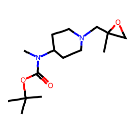 CN(C(=O)OC(C)(C)C)C1CCN(CC2(C)CO2)CC1